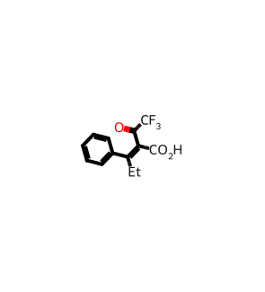 CCC(=C(C(=O)O)C(=O)C(F)(F)F)c1ccccc1